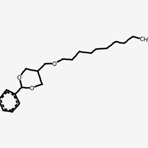 CCCCCCCCCCOCC1COC(c2ccccc2)OC1